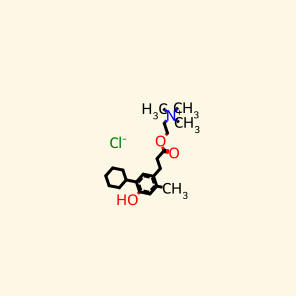 Cc1cc(O)c(C2CCCCC2)cc1CCC(=O)OCC[N+](C)(C)C.[Cl-]